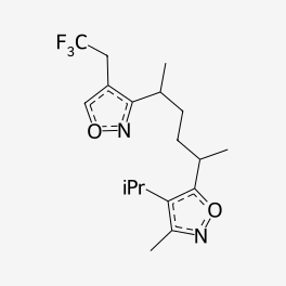 Cc1noc(C(C)CCC(C)c2nocc2CC(F)(F)F)c1C(C)C